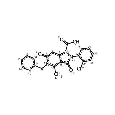 CC(=O)n1c2cc(=O)n(Cc3ccccn3)c(C)c2c(=O)n1-c1ccccc1Cl